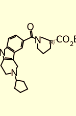 CCOC(=O)[C@@H]1CCCN(C(=O)c2ccc3[nH]c4c(c3c2)CN(C2CCCC2)CC4)C1